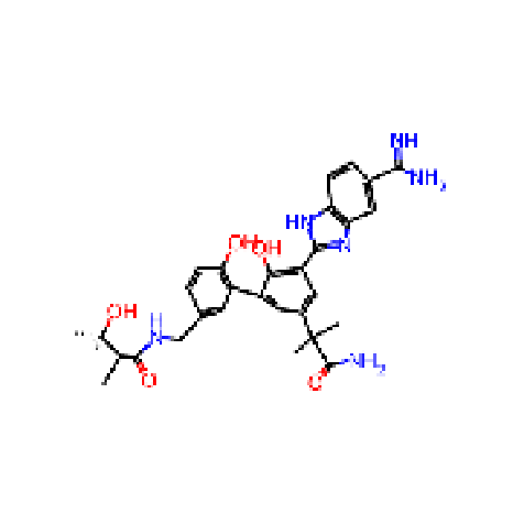 CC(C(=O)NCc1ccc(O)c(-c2cc(C(C)(C)C(N)=O)cc(-c3nc4cc(C(=N)N)ccc4[nH]3)c2O)c1)[C@H](C)O